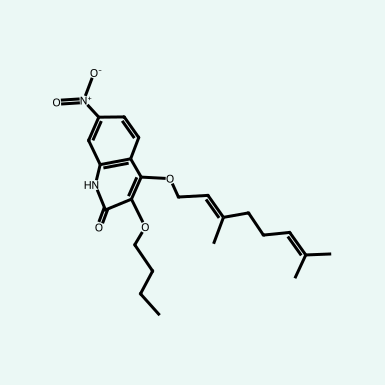 CCCCOc1c(OC/C=C(\C)CCC=C(C)C)c2ccc([N+](=O)[O-])cc2[nH]c1=O